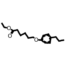 CCCc1ccc(OCCCCCC(=O)OCC)cc1